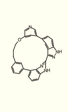 c1cc2cc(c1)-c1cccc3[nH]c(nc13)-c1n[nH]c3ccc(cc13)-c1cncc(c1)OCCC2